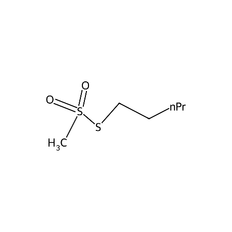 CCCCCSS(C)(=O)=O